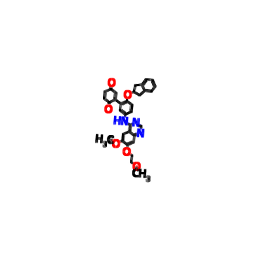 COCCOc1cc2ncnc(Nc3ccc(OC4Cc5ccccc5C4)c(C4=CC(=O)C=CC4=O)c3)c2cc1OC